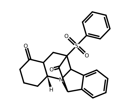 O=C1CCC[C@@H]2C1CC1(S(=O)(=O)c3ccccc3)C(=O)C3c4ccccc4C1N32